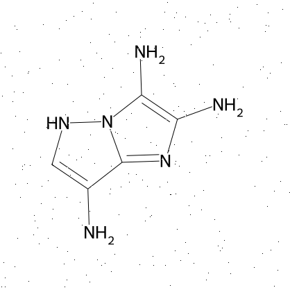 Nc1nc2c(N)c[nH]n2c1N